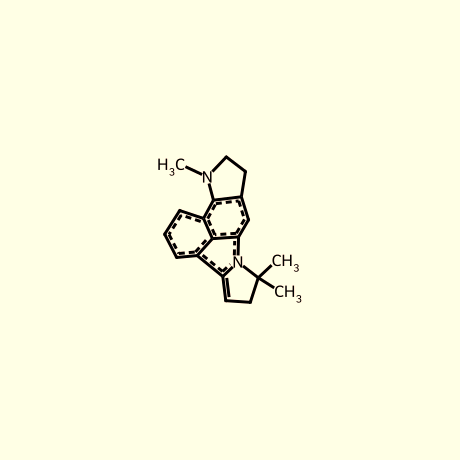 CN1CCc2cc3c4c(cccc4c4n3C(C)(C)CC=4)c21